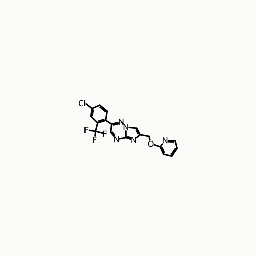 FC(F)(F)c1cc(Cl)ccc1-c1cnc2nc(COc3ccccn3)cn2n1